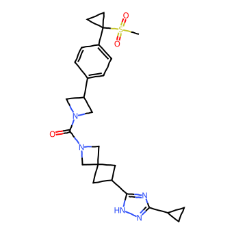 CS(=O)(=O)C1(c2ccc(C3CN(C(=O)N4CC5(CC(c6nc(C7CC7)n[nH]6)C5)C4)C3)cc2)CC1